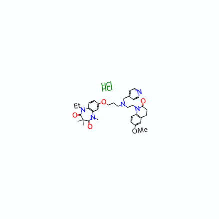 CCN1C(=O)C(C)(C)C(=O)N(C)c2cc(OCCCN(CCN3C(=O)CCc4cc(OC)ccc43)Cc3ccncc3)ccc21.Cl.Cl